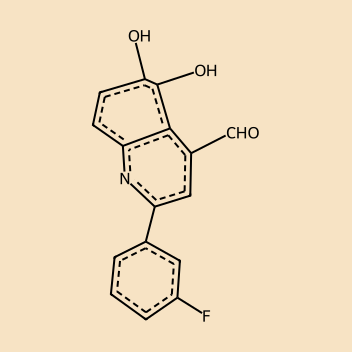 O=Cc1cc(-c2cccc(F)c2)nc2ccc(O)c(O)c12